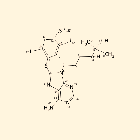 CC(C)(C)[AsH]CCCn1c(Sc2cc3c(cc2I)SCC3)nc2c(N)ncnc21